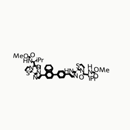 COC(=O)N[C@H](C(=O)N1CCS[C@H]1c1ncc(-c2ccc(-c3ccc(-c4cnc([C@@H]5SCCN5C(=O)[C@@H](NC(=O)OC)C(C)C)[nH]4)c4c3C3CCC4CC3)cc2)[nH]1)C(C)C